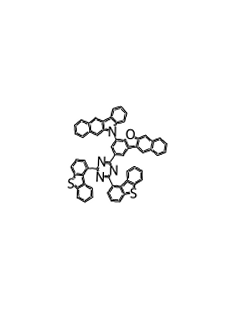 c1ccc2cc3c(cc2c1)oc1c(-n2c4ccccc4c4cc5ccccc5cc42)cc(-c2nc(-c4cccc5sc6ccccc6c45)nc(-c4cccc5sc6ccccc6c45)n2)cc13